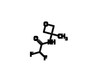 CC1(NC(=O)C(F)F)COC1